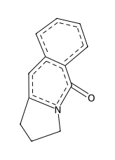 O=c1c2ccccc2cc2n1CCC2